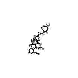 C#Cc1ccccc1-c1cc(C)nc(-c2nnc(OCc3ccc(Cl)cn3)s2)c1C(N)=O